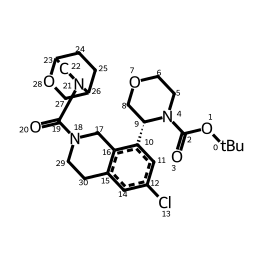 CC(C)(C)OC(=O)N1CCOC[C@H]1c1cc(Cl)cc2c1CN(C(=O)N1CC3CCC1CO3)CC2